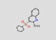 O=Cc1nc2ccccc2cc1S(=O)(=O)c1ccccc1